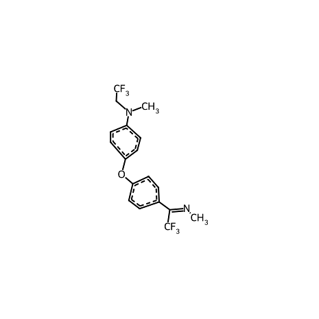 CN=C(c1ccc(Oc2ccc(N(C)CC(F)(F)F)cc2)cc1)C(F)(F)F